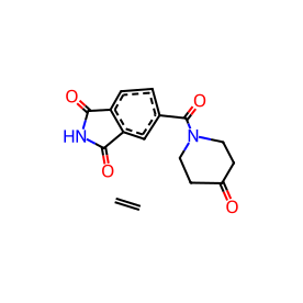 C=C.O=C1CCN(C(=O)c2ccc3c(c2)C(=O)NC3=O)CC1